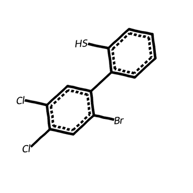 Sc1ccccc1-c1cc(Cl)c(Cl)cc1Br